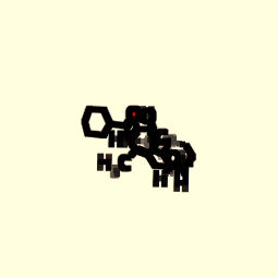 Cc1cc(O)cc2c1C[C@H]1NCC[C@@]23CC(=O)[C@@H](NC(=O)C2CCCCC2)C[C@@]13O